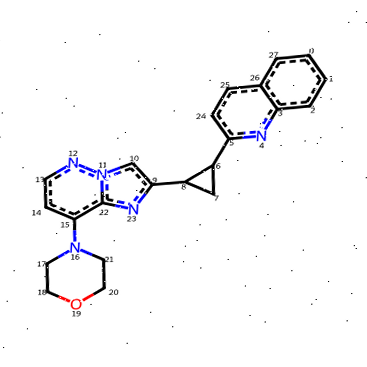 c1ccc2nc(C3CC3c3cn4nccc(N5CCOCC5)c4n3)ccc2c1